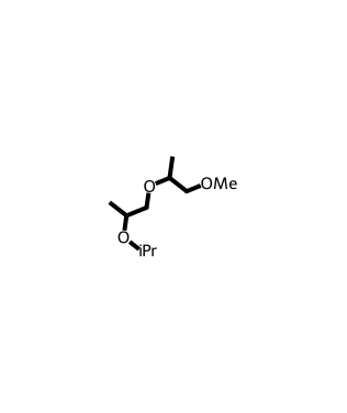 [CH2]C(C)OC(C)COC(C)COC